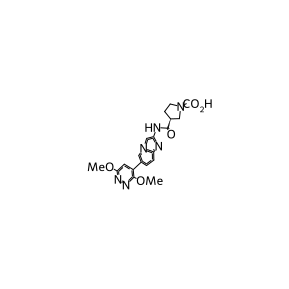 COc1cc(-c2ccc3nc(NC(=O)[C@H]4CCN(C(=O)O)C4)cn3c2)c(OC)nn1